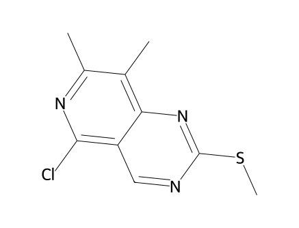 CSc1ncc2c(Cl)nc(C)c(C)c2n1